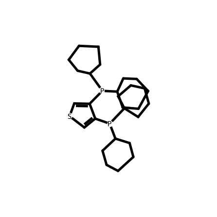 c1scc(P(C2CCCCC2)C2CCCCC2)c1P(C1CCCCC1)C1CCCCC1